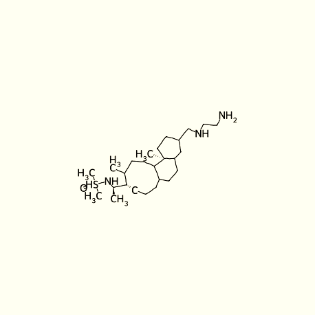 CC1CCC2C(CCC[C@@H]1[C@@H](C)N[SH](C)(C)=O)CCC1CC(CNCCN)CC[C@@]12C